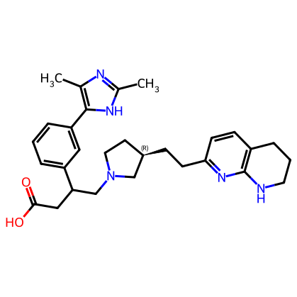 Cc1nc(C)c(-c2cccc(C(CC(=O)O)CN3CC[C@@H](CCc4ccc5c(n4)NCCC5)C3)c2)[nH]1